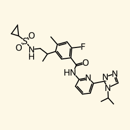 Cc1cc(F)c(C(=O)Nc2cccc(-c3nncn3C(C)C)n2)cc1C(C)CNS(=O)(=O)C1CC1